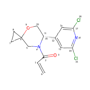 C=CC(=O)N1CC2(CC2)OC[C@@H]1c1cc(Cl)nc(Cl)c1